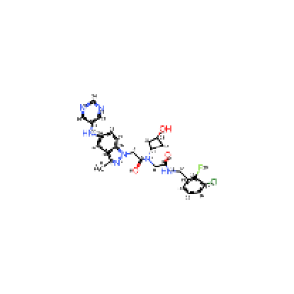 CC(=O)c1nn(CC(=O)N(CC(=O)NCc2cccc(Cl)c2F)[C@H]2C[C@H](O)C2)c2ccc(Nc3cncnc3)cc12